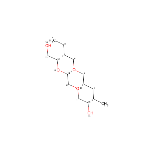 CCCCCOCCCC.OCCOCCOCCO